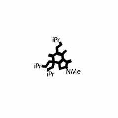 C=C1C2=C(CC1NC)C(CCC(C)C)(CCC(C)C)C(=C)C(CCC(C)C)=C2C